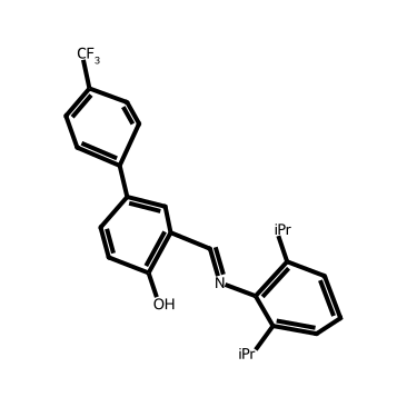 CC(C)c1cccc(C(C)C)c1/N=C/c1cc(-c2ccc(C(F)(F)F)cc2)ccc1O